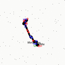 COc1cc(Nc2c(C#N)cnc3cc(OCCCN4CCN(CCCCCOCCOCCCCCC[NH+]([O-])c5cccc6c5C(=O)N(C5CCC(=O)NC5=O)C6=O)CC4)c(OC)cc23)c(Cl)cc1O